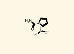 CCCN[O-].N[C](=O)[GeH]1[CH]=CC=[CH]1